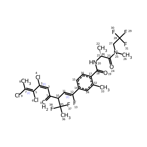 C=C(/C=C(Cl)\C(Cl)=C(/C)Cl)C(/C=C(\F)c1ccc(C(=O)N[C@H](C)C(=O)N(C)CC(F)(F)F)c(C)c1)C(C)(F)F